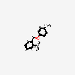 CCCc1ccc(OCc2ccccc2B(C)C)cc1